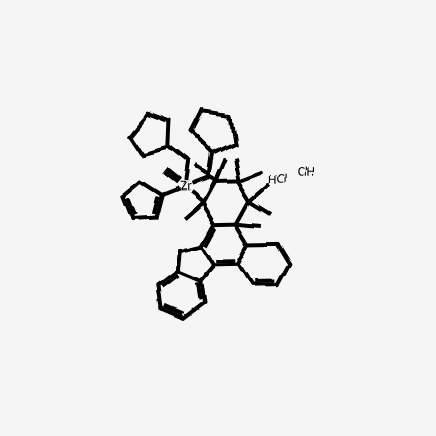 Cl.Cl.[CH2]=[Zr]([CH2]C1CCCC1)([CH2]C1CCCC1)([C]1=CC=CC1)[C]1(C)C2=C3Cc4ccccc4C3=C3C=CCCC3C2(C)C(C)(C)C(C)(C)C1(C)C